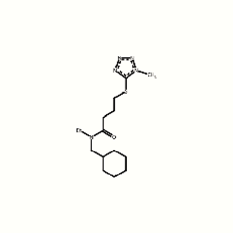 CCN(CC1CCCCC1)C(=O)CCCSc1nnnn1C